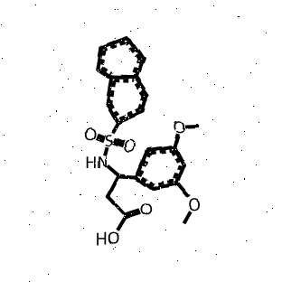 COc1cc(OC)cc(C(CC(=O)O)NS(=O)(=O)c2ccc3ccccc3c2)c1